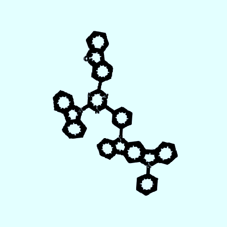 c1ccc(-n2c3ccccc3c3cc4c(cc32)c2ccccc2n4-c2cccc(-c3nc(-c4ccc5c(c4)oc4ccccc45)nc(-n4c5ccccc5c5ccccc54)n3)c2)cc1